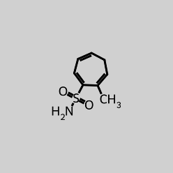 CC1=CCC=CC=C1S(N)(=O)=O